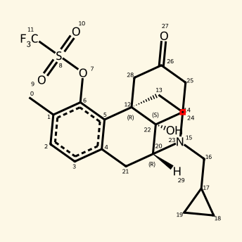 Cc1ccc2c(c1OS(=O)(=O)C(F)(F)F)[C@]13CCN(CC4CC4)[C@H](C2)[C@]1(O)CCC(=O)C3